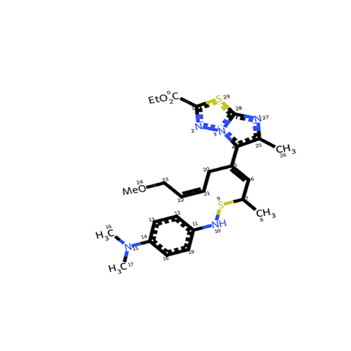 CCOC(=O)c1nn2c(/C(=C/C(C)SNc3ccc(N(C)C)cc3)C/C=C\COC)c(C)nc2s1